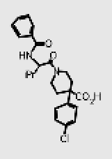 CC(C)[C@@H](NC(=O)c1ccccc1)C(=O)N1CCC(C(=O)O)(c2ccc(Cl)cc2)CC1